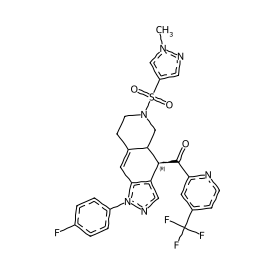 Cn1cc(S(=O)(=O)N2CCC3=Cc4c(cnn4-c4ccc(F)cc4)[C@H](C(=O)c4cc(C(F)(F)F)ccn4)C3C2)cn1